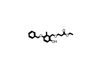 CCOC(=O)CCOCc1c(O)ccc(OCc2ccccc2)c1C